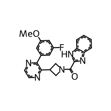 COc1cc(F)cc(-c2nccnc2C2CN(C(=O)c3nc4ccccc4[nH]3)C2)c1